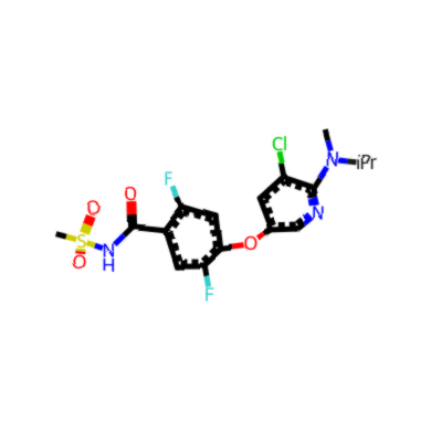 CC(C)N(C)c1ncc(Oc2cc(F)c(C(=O)NS(C)(=O)=O)cc2F)cc1Cl